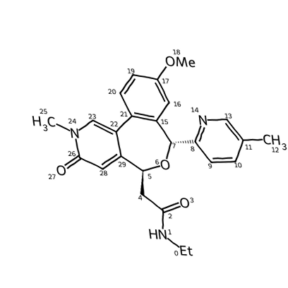 CCNC(=O)C[C@@H]1O[C@@H](c2ccc(C)cn2)c2cc(OC)ccc2-c2cn(C)c(=O)cc21